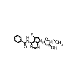 CC[C@H]1O[C@@H](n2cc(F)c3c(NC(=O)c4ccccc4)ncnc32)C[C@@H]1O